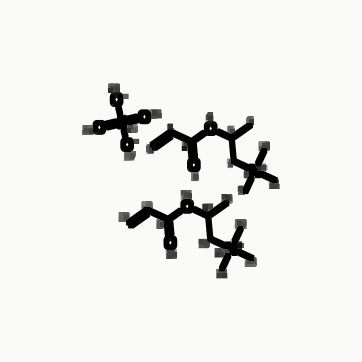 C=CC(=O)OC(C)C[N+](C)(C)C.C=CC(=O)OC(C)C[N+](C)(C)C.O=S(=O)([O-])[O-]